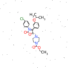 CCOC(=O)N1CCN(C[C@@H]2OC(=O)N(c3ccc(Cl)cc3)[C@H]2c2cccc(OC(C)C)c2)CC1